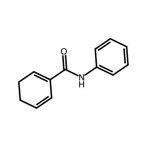 O=C(Nc1ccccc1)C1=CCCC=C1